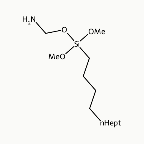 CCCCCCCCCCC[Si](OC)(OC)OCN